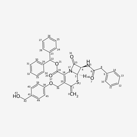 C=C1S[C@@H]2[C@H](NC(=O)Cc3ccccc3)C(=O)N2C(C(=O)OC(c2ccccc2)c2ccccc2)=C1COc1ccc(CO)cc1